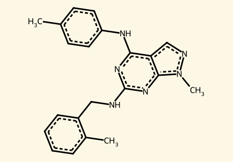 Cc1ccc(Nc2nc(NCc3ccccc3C)nc3c2cnn3C)cc1